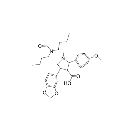 CCCCN(C=O)CCCC.COc1ccc(C2C(C(=O)O)C(c3ccc4c(c3)OCO4)CN2C)cc1